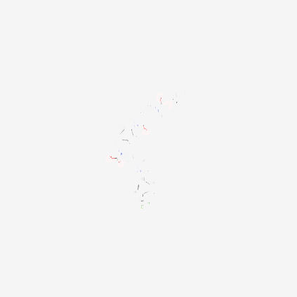 CC(C)(C)OC(=O)N1CCC(C(=O)Nc2ccc(CN3CC4(CCN(Cc5ccc(C(F)(F)F)cc5)CC4)OC3=O)cc2)CC1